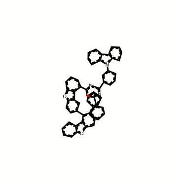 c1ccc(-c2nc(-c3cccc(-n4c5ccccc5c5ccccc54)c3)nc(-c3cccc4oc5ccc(-c6c(-c7ccccc7)ccc7oc8ccccc8c67)cc5c34)n2)cc1